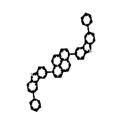 c1ccc(-c2ccc3sc4ccc(-c5ccc6ccc7c(-c8ccc9sc%10ccc(-c%11ccccc%11)cc%10c9c8)ccc8ccc5c6c87)cc4c3c2)cc1